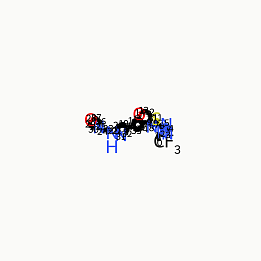 FC(F)(F)Cn1ncnc1-c1nc2c(s1)CCOc1cc(-c3ccc(NCCN4CCOCC4)nc3)ccc1-2